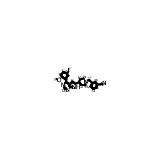 COc1ccc(F)cc1-c1ncnc2[nH]c(C3=CCN(Cc4cccc(C#N)c4)CC3)cc12